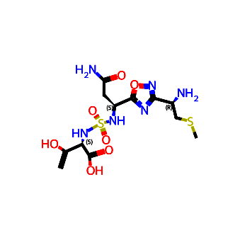 C=C(O)[C@H](NS(=O)(=O)N[C@@H](CC(N)=O)c1nc([C@@H](N)CSC)no1)C(=O)O